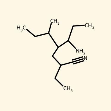 CCC(C#N)CC(C(C)CC)C(N)CC